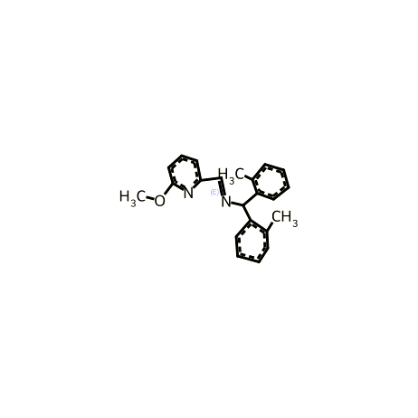 COc1cccc(/C=N/C(c2ccccc2C)c2ccccc2C)n1